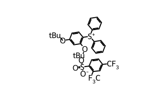 CC(C)(C)Oc1ccc([S+](c2ccccc2)c2ccccc2)c(OC(C)(C)C)c1.O=S(=O)([O-])c1ccc(C(F)(F)F)cc1C(F)(F)F